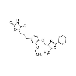 CCOc1cc(CCCC2OC(=O)NC2=O)ccc1OCc1nc(-c2ccccc2)oc1C